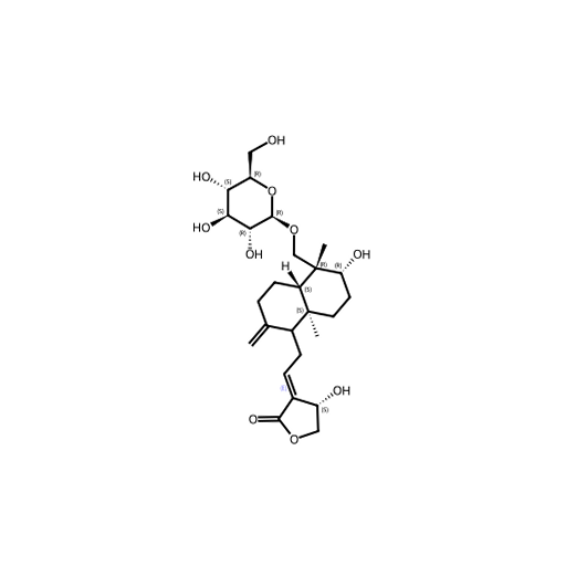 C=C1CC[C@@H]2[C@](C)(CO[C@@H]3O[C@H](CO)[C@@H](O)[C@H](O)[C@H]3O)[C@H](O)CC[C@@]2(C)C1C/C=C1/C(=O)OC[C@H]1O